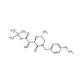 COc1ccc(CN2C[C@@H](C)O[C@H]([C@@H](O)C(=O)OC(C)(C)C)C2=O)cc1